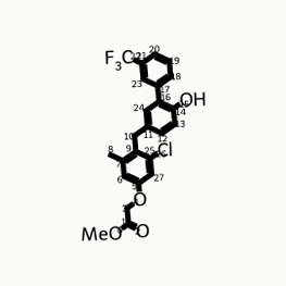 COC(=O)COc1cc(C)c(Cc2ccc(O)c(-c3cccc(C(F)(F)F)c3)c2)c(Cl)c1